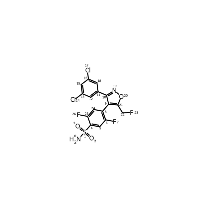 NS(=O)(=O)c1cc(F)c(-c2c(-c3cc(Cl)cc(Cl)c3)noc2CF)cc1F